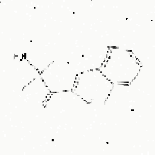 CC(C)(N)C(=O)c1ccc2ccccc2c1